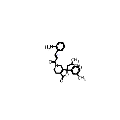 Cc1cccc(C2(CC(C)C)OC(=O)C3=C2CN(C(=O)/C=C/c2ccccc2N)CC3)c1